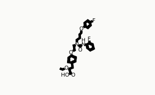 CCOC(Cc1ccc(OCCN(CCCCOc2ccc(F)cc2)C(=O)Nc2ccccc2F)cc1)C(=O)O